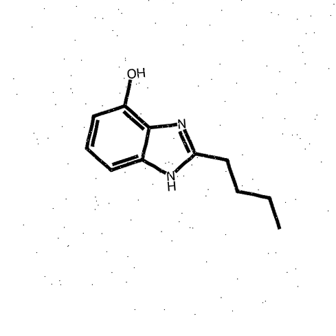 CCCCc1nc2c(O)cccc2[nH]1